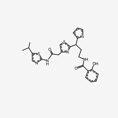 CC(C)c1cnc(NC(=O)Cc2csc(C(CCNC(=O)c3ccccc3O)c3cccs3)n2)s1